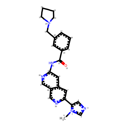 Cn1cncc1-c1cc2cc(NC(=O)c3cccc(CN4CCCC4)c3)ncc2cn1